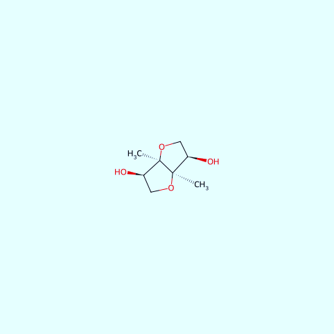 C[C@]12OC[C@@H](O)[C@@]1(C)OC[C@H]2O